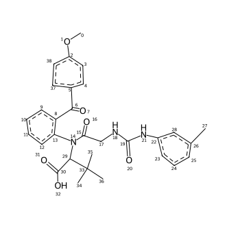 COc1ccc(C(=O)c2ccccc2N(C(=O)CNC(=O)Nc2cccc(C)c2)C(C(=O)O)C(C)(C)C)cc1